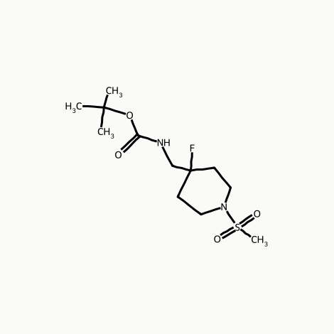 CC(C)(C)OC(=O)NCC1(F)CCN(S(C)(=O)=O)CC1